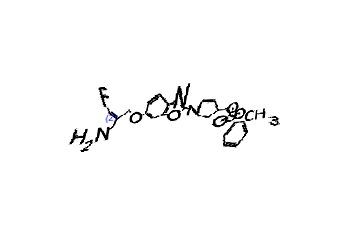 Cc1ccccc1S(=O)(=O)OC1CCN(c2nc3ccc(OC/C(=C\F)CN)cc3o2)CC1